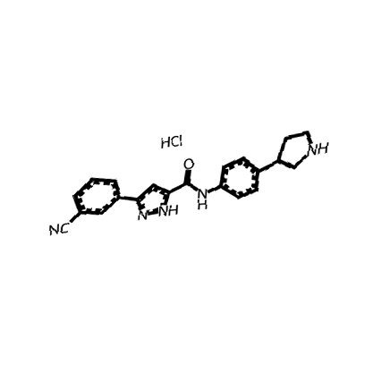 Cl.N#Cc1cccc(-c2cc(C(=O)Nc3ccc(C4CCNC4)cc3)[nH]n2)c1